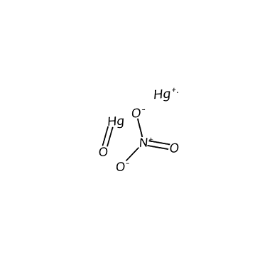 O=[N+]([O-])[O-].[Hg+].[O]=[Hg]